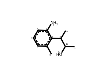 Cc1cccc(N)c1C(C)C(C)O